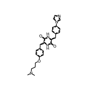 CN(C)CCCOc1ccc(/C=c2\[nH]c(=O)/c(=C/c3ccc(-n4ccnc4)cc3)[nH]c2=O)cc1